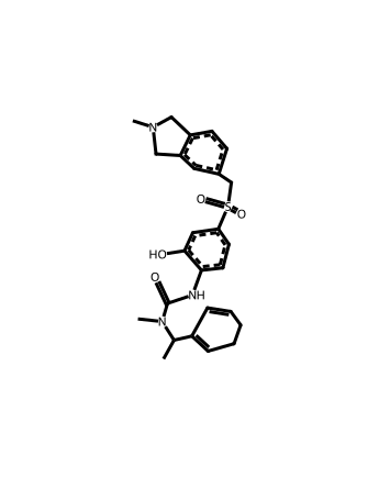 CC(C1=CCCC=C1)N(C)C(=O)Nc1ccc(S(=O)(=O)Cc2ccc3c(c2)CN(C)C3)cc1O